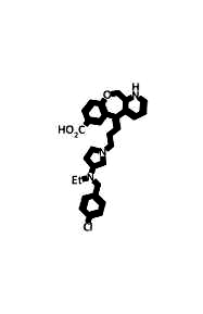 CCN(Cc1ccc(Cl)cc1)C1CCN(CC/C=C2/C3=CC=CNC3COc3ccc(C(=O)O)cc32)C1